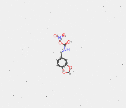 O=C(NCc1ccc2c(c1)OCO2)O[N+](=O)[O-]